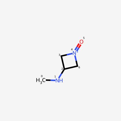 CNC1C[N+](=O)C1